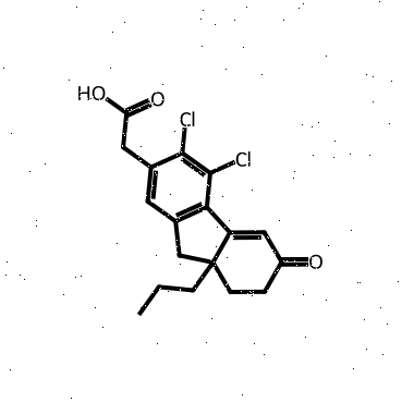 CCCC12CCC(=O)C=C1c1c(cc(CC(=O)O)c(Cl)c1Cl)C2